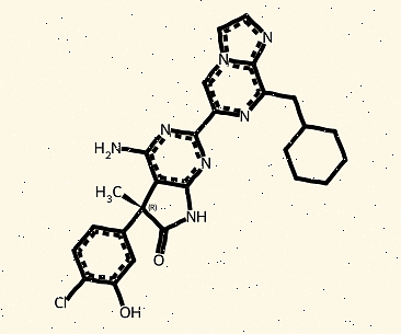 C[C@]1(c2ccc(Cl)c(O)c2)C(=O)Nc2nc(-c3cn4ccnc4c(CC4CCCCC4)n3)nc(N)c21